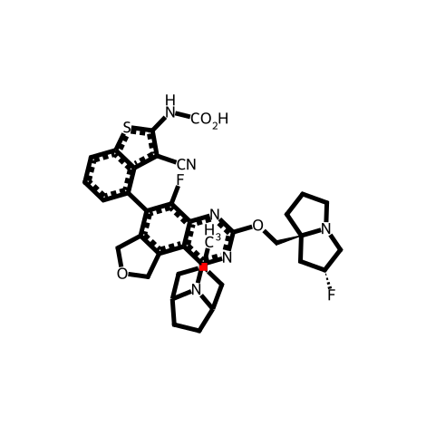 CN1CC2CCC(C1)N2c1nc(OC[C@@]23CCCN2C[C@H](F)C3)nc2c(F)c(-c3cccc4sc(NC(=O)O)c(C#N)c34)c3c(c12)COC3